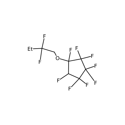 CCC(F)(F)COC1(F)C(F)C(F)(F)C(F)(F)C1(F)F